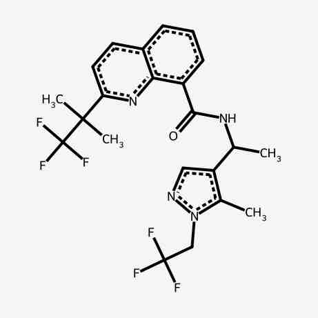 Cc1c(C(C)NC(=O)c2cccc3ccc(C(C)(C)C(F)(F)F)nc23)cnn1CC(F)(F)F